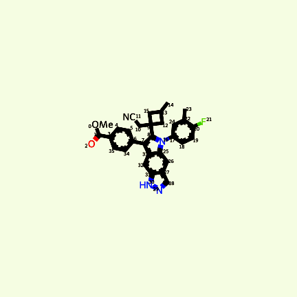 COC(=O)c1ccc(-c2c(C3(CC#N)CC(C)C3)n(-c3ccc(F)c(C)c3)c3cc4cn[nH]c4cc23)cc1